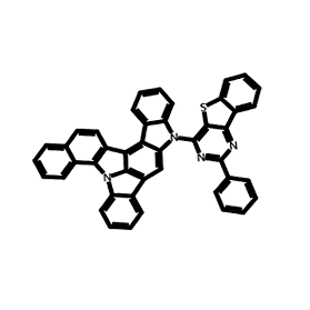 c1ccc(-c2nc(-n3c4ccccc4c4c5c6ccc7ccccc7c6n6c7ccccc7c(cc43)c56)c3sc4ccccc4c3n2)cc1